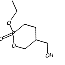 CCOP1(=O)CCC(CO)CO1